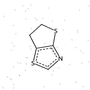 c1nc2c(s1)CCS2